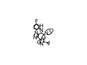 O=C(C1Nc2cc(F)ccc2-n2cnc(-c3nc(C4CC4)no3)c21)N1CCOCC1